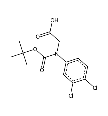 CC(C)(C)OC(=O)N(CC(=O)O)c1ccc(Cl)c(Cl)c1